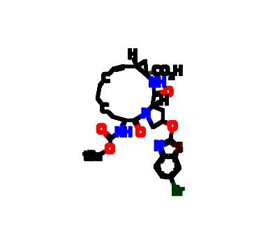 CC(C)(C)OC(=O)N[C@H]1CCCCC/C=C\[C@@H]2C[C@@]2(C(=O)O)NC(=O)[C@@H]2C[C@@H](Oc3nc4ccc(Br)cc4s3)CN2C1=O